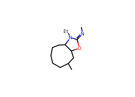 CCN1/C(=N\C)OC2CC(C)CCCCCC21